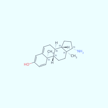 C[C@]12CC[C@H]3[C@@H](CC=C4C=C(O)C=C[C@@]43C)[C@@H]1CC[C@@H]2N